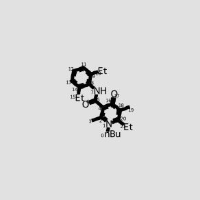 CCCCn1c(C)c(C(=O)Nc2c(CC)cccc2CC)c(=O)c(C)c1CC